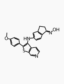 COc1ccc(-c2sc3cnccc3c2Nc2ccc3c(c2)CCC3=NO)cc1